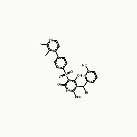 CCCCc1nc(=O)c(S(=O)(=O)c2ccc(-c3ccnc(F)c3C)cc2)c(O)n1C(CC)c1cccc(C#N)n1